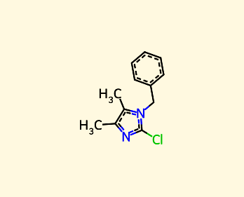 Cc1nc(Cl)n(Cc2ccccc2)c1C